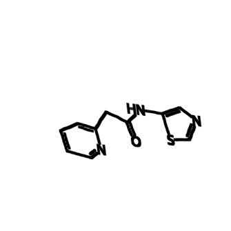 O=C(Cc1ccccn1)Nc1cncs1